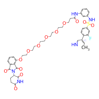 C/C=C(\C=N)c1ccc(S(=O)(=O)Nc2cccc(NC(=O)CCOCCOCCOCCOCCOCCOc3cccc4c3C(=O)N(C3CCC(=O)NC3=O)C4=O)c2)cc1F